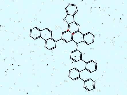 c1ccc(-c2ccccc2-c2ccccc2-c2cccc(N(c3cccc(-c4cccc5c4ccc4ccccc45)c3)c3ccccc3-c3ccc4oc5ccccc5c4c3)c2)cc1